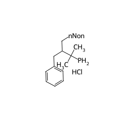 CCCCCCCCCCC(Cc1ccccc1)C(C)(C)P.Cl